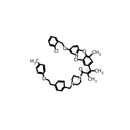 C/C(C(=O)N1CCN(Cc2ccc(CCOc3ccc(C)cc3)cc2)CC1)=C(\C)c1cc(C)c(Oc2ccc(OCc3ccccc3Cl)cn2)c(Cl)c1